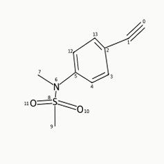 C#Cc1ccc(N(C)S(C)(=O)=O)cc1